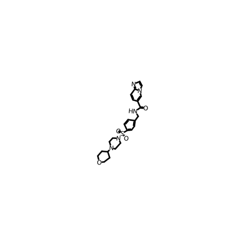 O=C(NCc1ccc(S(=O)(=O)N2CCN(C3CCOCC3)CC2)cc1)c1ccc2nccn2c1